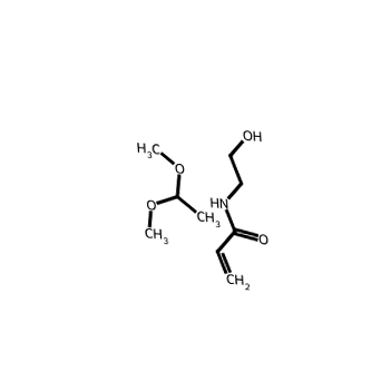 C=CC(=O)NCCO.COC(C)OC